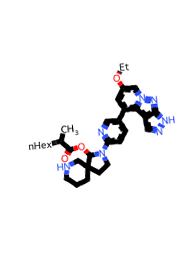 CCCCCCC(C)C(=O)OC1N(c2ccc(-c3cc(OCC)cn4nc5[nH]ncc5c34)cn2)CCC12CCCNC2